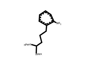 CCCCCCC(CCCCC)CCCc1ccccc1N